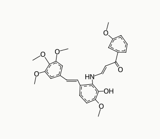 COc1cccc(C(=O)C=CNc2c(C=Cc3cc(OC)c(OC)c(OC)c3)ccc(OC)c2O)c1